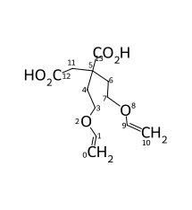 C=COCCC(CCOC=C)(CC(=O)O)C(=O)O